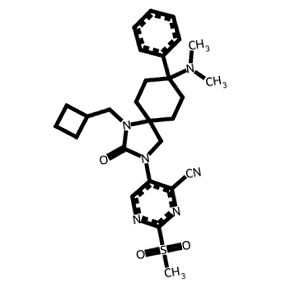 CN(C)C1(c2ccccc2)CCC2(CC1)CN(c1cnc(S(C)(=O)=O)nc1C#N)C(=O)N2CC1CCC1